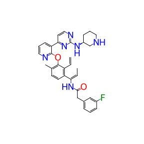 C=Cc1c(/C(=C\C)NC(=O)Cc2cccc(F)c2)ccc(C)c1Oc1ncccc1-c1ccnc(N[C@H]2CCCNC2)n1